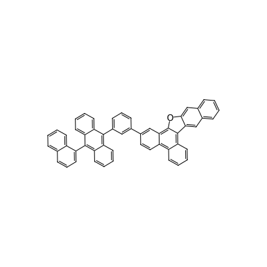 c1cc(-c2ccc3c4ccccc4c4c5cc6ccccc6cc5oc4c3c2)cc(-c2c3ccccc3c(-c3cccc4ccccc34)c3ccccc23)c1